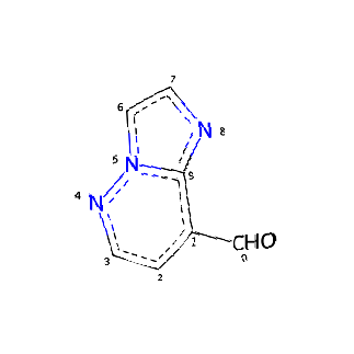 O=Cc1ccnn2ccnc12